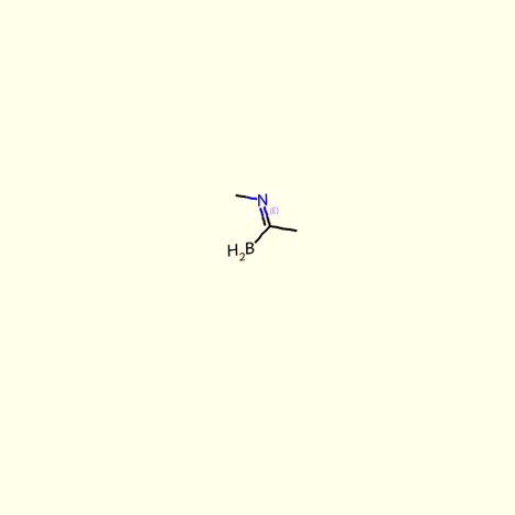 B/C(C)=N\C